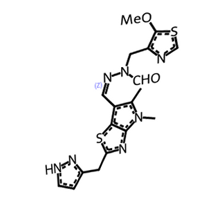 COc1scnc1CN(C=O)/N=C\c1c(C)n(C)c2nc(Cc3cc[nH]n3)sc12